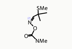 CNC(=O)O/N=C\C(C)(C)SC